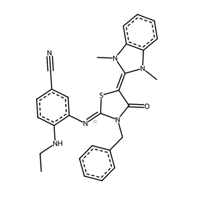 CCNc1ccc(C#N)cc1/N=C1\SC(=C2N(C)c3ccccc3N2C)C(=O)N1Cc1ccccc1